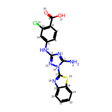 Nc1nc(Nc2ccc(C(=O)O)c(Cl)c2)nn1-c1nc2ccccc2s1